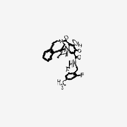 Cc1cc(F)c(CNC(=O)c2cn3c(c(O)c2=O)C(=O)N2CCc4ccccc4[C@@H]3C2)c(F)c1